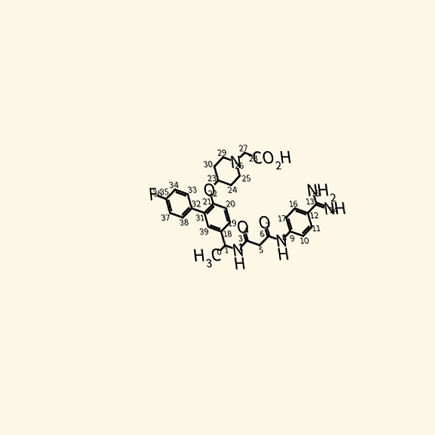 CC(NC(=O)CC(=O)Nc1ccc(C(=N)N)cc1)c1ccc(OC2CCN(CC(=O)O)CC2)c(-c2ccc(F)cc2)c1